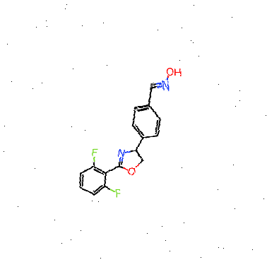 ON=Cc1ccc(C2COC(c3c(F)cccc3F)=N2)cc1